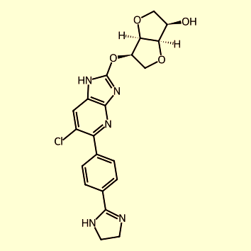 O[C@@H]1CO[C@H]2[C@@H]1OC[C@H]2Oc1nc2nc(-c3ccc(C4=NCCN4)cc3)c(Cl)cc2[nH]1